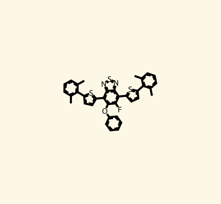 Cc1cccc(C)c1-c1ccc(-c2c(F)c(Oc3ccccc3)c(-c3ccc(-c4c(C)cccc4C)s3)c3nsnc23)s1